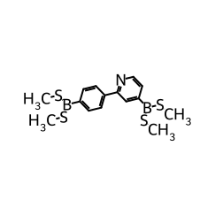 CSB(SC)c1ccc(-c2cc(B(SC)SC)ccn2)cc1